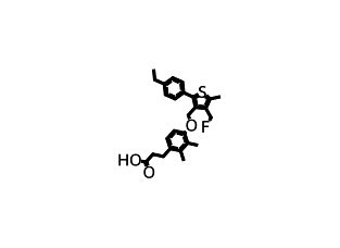 CCc1ccc(-c2sc(C)c(CF)c2COc2ccc(CCC(=O)O)c(C)c2C)cc1